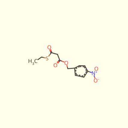 CCSC(=O)CC(=O)OCc1ccc([N+](=O)[O-])cc1